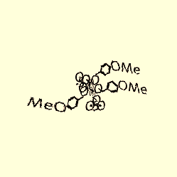 COc1ccc(CO[C@H](OS(C)(=O)=O)[C@@H](OCc2ccc(OC)cc2)[C@@H](COS(C)(=O)=O)OCc2ccc(OC)cc2)cc1